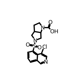 O=C(O)N1CCC2CN(S(=O)(=O)c3cccc4cncc(Cl)c34)CC21